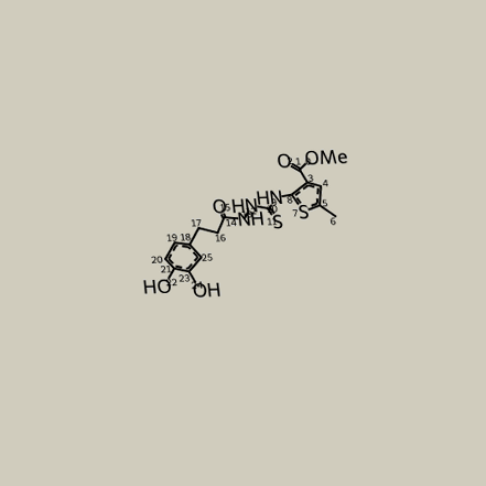 COC(=O)c1cc(C)sc1NC(=S)NNC(=O)CCc1ccc(O)c(O)c1